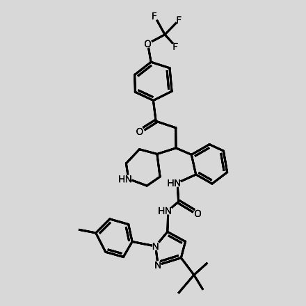 Cc1ccc(-n2nc(C(C)(C)C)cc2NC(=O)Nc2ccccc2C(CC(=O)c2ccc(OC(F)(F)F)cc2)C2CCNCC2)cc1